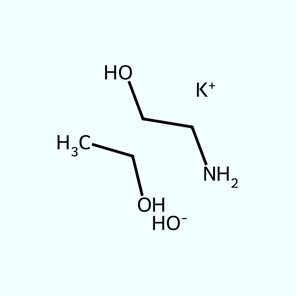 CCO.NCCO.[K+].[OH-]